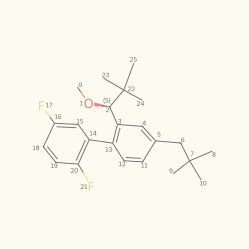 CO[C@H](c1cc(CC(C)(C)C)ccc1-c1cc(F)ccc1F)C(C)(C)C